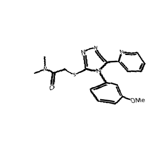 COc1cccc(-n2c(SCC(=O)N(C)C)nnc2-c2ccccn2)c1